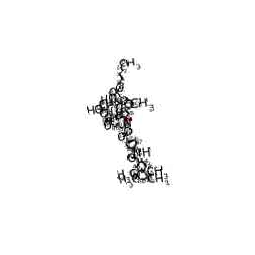 C/C=C/C=C/COC(=O)C[C@](O)(CCCC(C)(C)O)C(=O)O[C@@H]1C(OC)=C[C@]23CCCN2C(OC(=O)c2ccc(NC(=O)c4ccc5c(c4)C(C)(C)CCC5(C)C)cc2)Cc2cc4c(cc2[C@H]13)OCO4